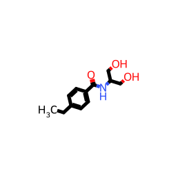 CCc1ccc(C(=O)NC(CO)CO)cc1